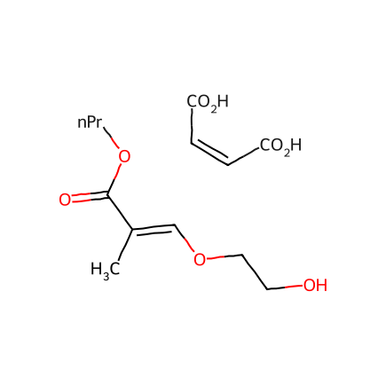 CCCOC(=O)C(C)=COCCO.O=C(O)/C=C\C(=O)O